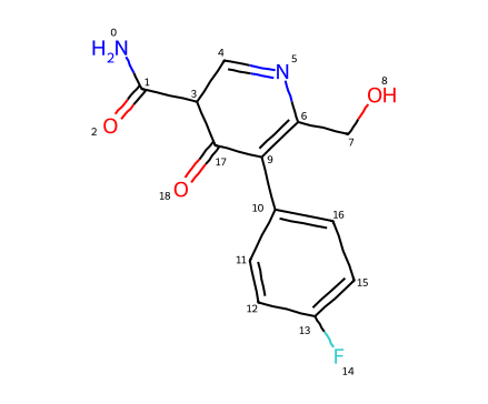 NC(=O)C1C=NC(CO)=C(c2ccc(F)cc2)C1=O